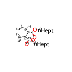 CCCCCCCOC(=O)C1C(C)C=CCC(C)C1C(=O)OCCCCCCC